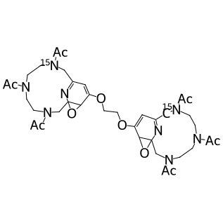 CC(=O)N1CCN(C(C)=O)CC23N=C(C=C(OCCOC4=CC5=NC6(CN(C(C)=O)CCN(C(C)=O)CC[15N](C(C)=O)C5)OC46)C2O3)C[15N](C(C)=O)CC1